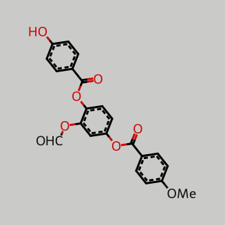 COc1ccc(C(=O)Oc2ccc(OC(=O)c3ccc(O)cc3)c(OC=O)c2)cc1